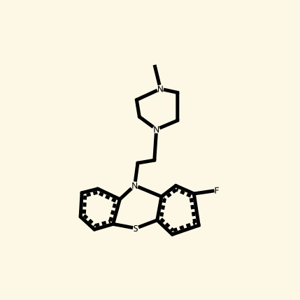 CN1CCN(CCN2c3ccccc3Sc3ccc(F)cc32)CC1